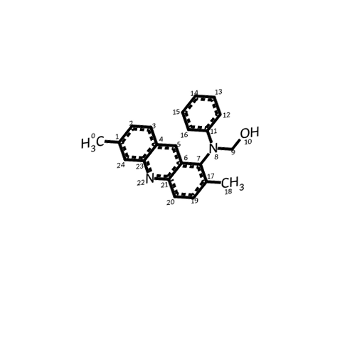 Cc1ccc2cc3c(N(CO)c4ccccc4)c(C)ccc3nc2c1